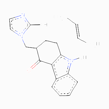 Cc1nccn1CC1CCc2c(c3ccccc3n2C)C1=O.O=C(O)C=CC(=O)O